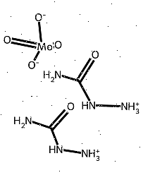 NC(=O)N[NH3+].NC(=O)N[NH3+].[O]=[Mo](=[O])([O-])[O-]